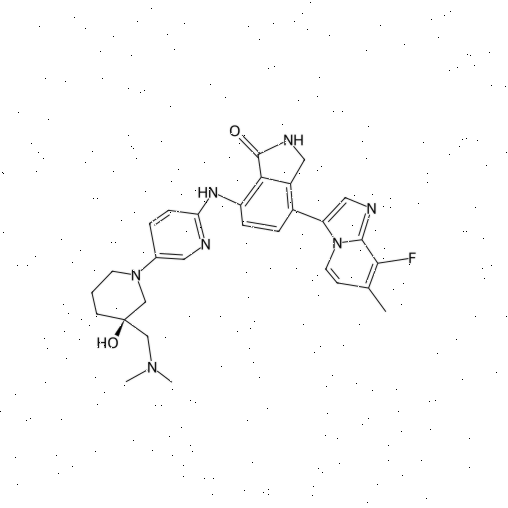 Cc1ccn2c(-c3ccc(Nc4ccc(N5CCC[C@@](O)(CN(C)C)C5)cn4)c4c3CNC4=O)cnc2c1F